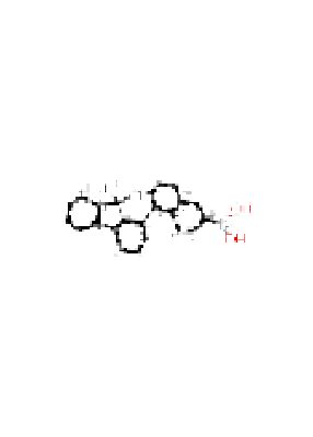 CC1(C)c2ccccc2-c2cccc(-c3cccc4cc(B(O)O)ccc34)c21